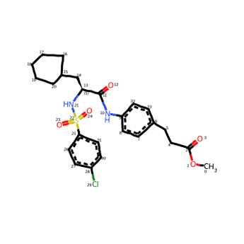 COC(=O)CCc1ccc(NC(=O)[C@H](CC2CCCCC2)NS(=O)(=O)c2ccc(Cl)cc2)cc1